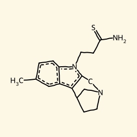 Cc1ccc2c(c1)c1c(n2CCC(N)=S)CN2CCC1C2